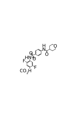 O=C(O)c1cc(F)c(NS(=O)(=O)c2ccc(NC(=O)C3CCOCC3)cc2)cc1F